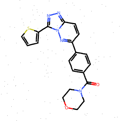 O=C(c1ccc(-c2ccc3nnc(-c4cccs4)n3n2)cc1)N1CCOCC1